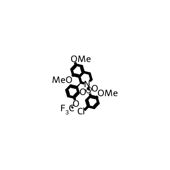 COc1cc2c(c(OC)c1)[C@H](c1cccc(OC(F)(F)F)c1)N(S(=O)(=O)c1cc(Cl)ccc1OC)CC2